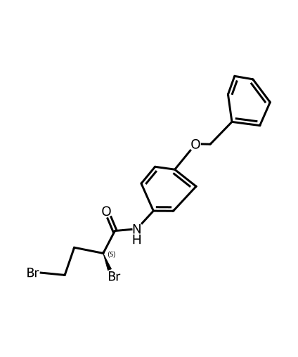 O=C(Nc1ccc(OCc2ccccc2)cc1)[C@@H](Br)CCBr